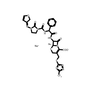 O=C([O-])C1=C(CSc2nnc(C(F)(F)F)s2)CS[C@H]2C(NC(=O)C(NC(=O)N3CCN(N=C4C=COC4)C3=O)c3ccccc3)C(=O)N12.[Na+]